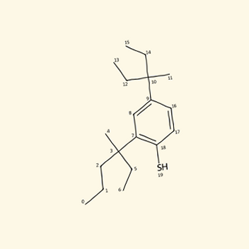 CCCC(C)(CC)c1cc(C(C)(CC)CC)ccc1S